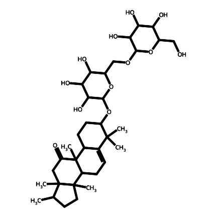 CC1CCC2(C)C3CC=C4C(CCC(OC5OC(COC6OC(CO)C(O)C(O)C6O)C(O)C(O)C5O)C4(C)C)C3(C)C(=O)CC12C